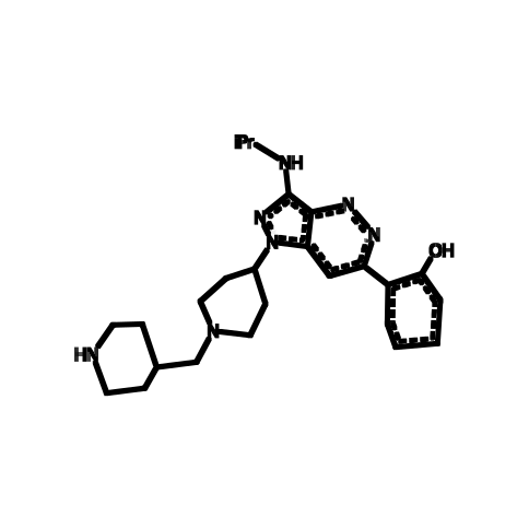 CC(C)Nc1nn(C2CCN(CC3CCNCC3)CC2)c2cc(-c3ccccc3O)nnc12